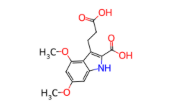 COc1cc(OC)c2c(CCC(=O)O)c(C(=O)O)[nH]c2c1